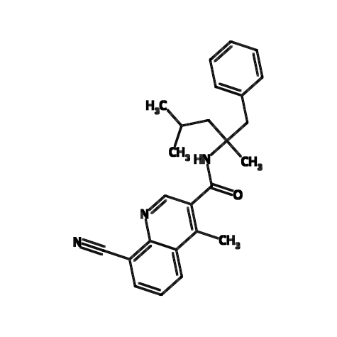 Cc1c(C(=O)NC(C)(Cc2ccccc2)CC(C)C)cnc2c(C#N)cccc12